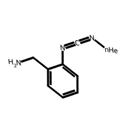 CCCCCCN=C=Nc1ccccc1CN